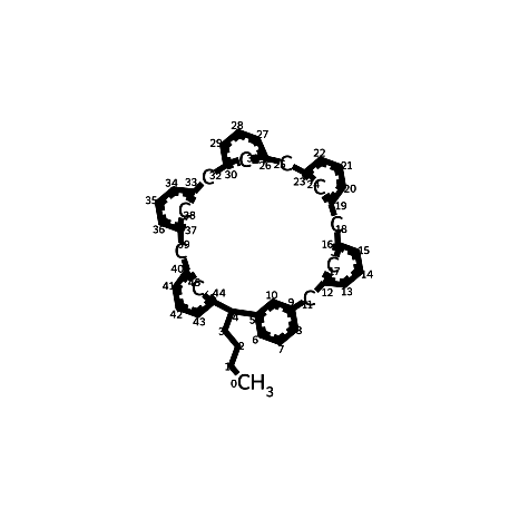 CCCCC1c2cccc(c2)Cc2cccc(c2)Cc2cccc(c2)Cc2cccc(c2)Cc2cccc(c2)Cc2cccc1c2